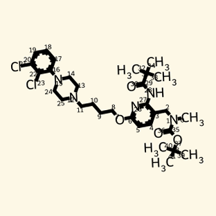 CN(Cc1ccc(OCCCCN2CCN(c3cccc(Cl)c3Cl)CC2)nc1NC(=O)C(C)(C)C)C(=O)OC(C)(C)C